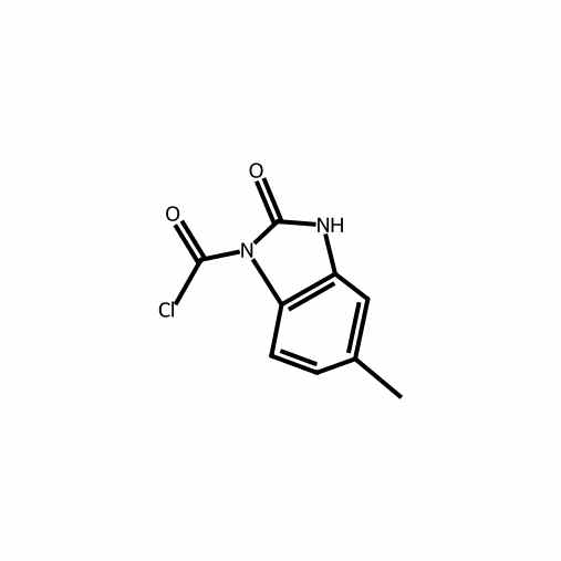 Cc1ccc2c(c1)[nH]c(=O)n2C(=O)Cl